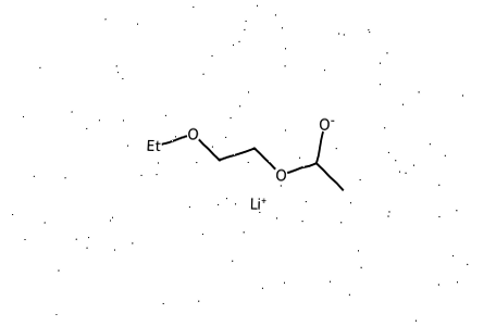 CCOCCOC(C)[O-].[Li+]